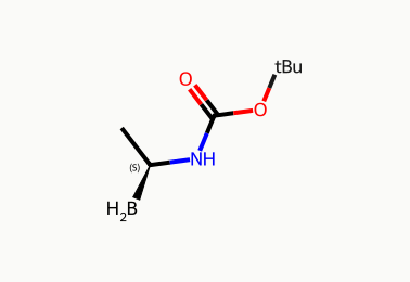 B[C@@H](C)NC(=O)OC(C)(C)C